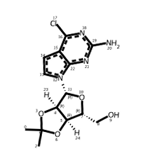 CC1(C)O[C@@H]2[C@H](O1)[C@@H](CO)O[C@H]2n1ccc2c(Cl)nc(N)nc21